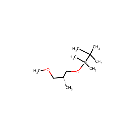 COC[C@@H](C)CO[Si](C)(C)C(C)(C)C